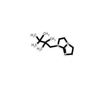 CC(C)(C)C(C)(C)CN1CCN2CCN=C21